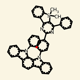 C[Si]1(C)c2ccccc2-c2nc(-c3ccc(-n4c5ccccc5c5ccc6c7ccccc7n(-c7ccccc7)c6c54)cc3)nc(-c3ccccc3)c21